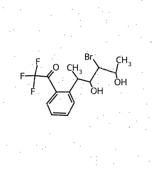 CC(O)C(Br)C(O)C(C)c1ccccc1C(=O)C(F)(F)F